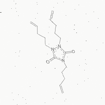 C=CCCCn1c(=O)n(CCCC=C)n(CCCC=C)c1=O